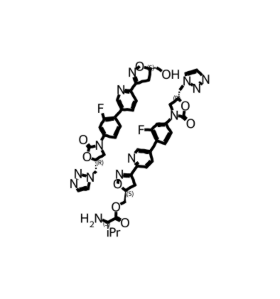 CC(C)[C@H](N)C(=O)OC[C@@H]1CC(c2ccc(-c3ccc(N4C[C@H](Cn5ccnn5)OC4=O)cc3F)cn2)=NO1.O=C1O[C@@H](Cn2ccnn2)CN1c1ccc(-c2ccc(C3=NO[C@H](CO)C3)nc2)c(F)c1